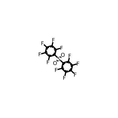 O=S(=O)(c1c(F)c(F)c(F)c(F)c1F)c1c(F)c(F)c(F)c(F)c1F